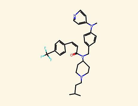 CC(C)CCN1CCC(N(Cc2ccc(N(C)c3ccncc3)cc2)C(=O)C=Cc2ccc(C(F)(F)F)cc2)CC1